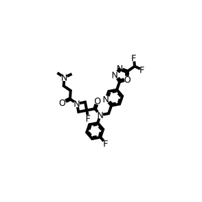 CN(C)CCC(=O)N1CC(F)(C(=O)N(Cc2ccc(-c3nnc(C(F)F)o3)cn2)c2cccc(F)c2)C1